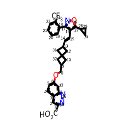 O=C(O)c1cc2ccc(OCC3CC4(CC(/C=C/c5c(-c6ccccc6C(F)(F)F)noc5C5CC5)C4)C3)cc2nn1